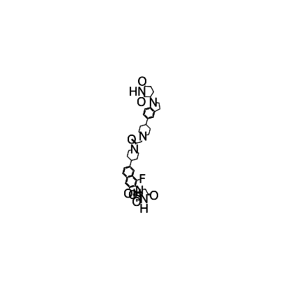 O=C1CCC(N2CCc3cc(C4CCN(CC(=O)N5CCC(c6ccc7cc(O)c(N8CC(=O)NS8(=O)=O)c(F)c7c6)CC5)CC4)ccc32)C(=O)N1